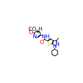 Cc1nn(C2CCCCC2)c2sc(C(=O)Nc3ccc(OC(=O)O)nc3)cc12